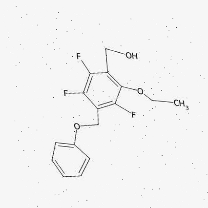 CCOc1c(F)c(COc2ccccc2)c(F)c(F)c1CO